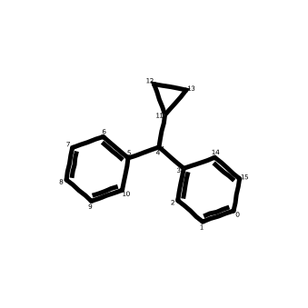 c1ccc([C](c2ccccc2)C2CC2)cc1